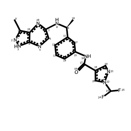 Cc1n[nH]c2ncc(N[C@@H](C)c3cccc(NC(=O)c4cnn(C(F)F)c4)c3)nc12